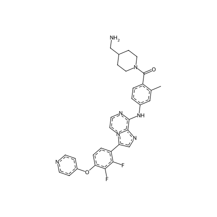 Cc1cc(Nc2nccn3c(-c4ccc(Oc5ccncc5)c(F)c4F)cnc23)ccc1C(=O)N1CCC(CN)CC1